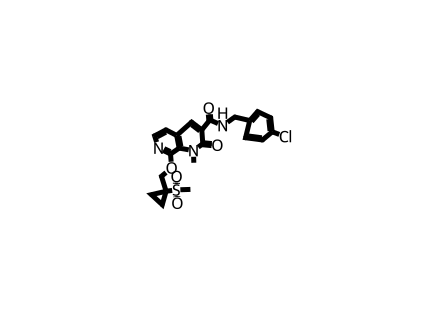 Cn1c(=O)c(C(=O)NCc2ccc(Cl)cc2)cc2ccnc(OCC3(S(C)(=O)=O)CC3)c21